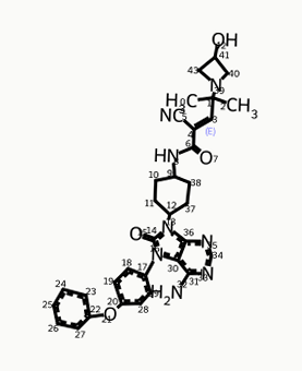 CC(C)(/C=C(\C#N)C(=O)NC1CCC(n2c(=O)n(-c3ccc(Oc4ccccc4)cc3)c3c(N)ncnc32)CC1)N1CC(O)C1